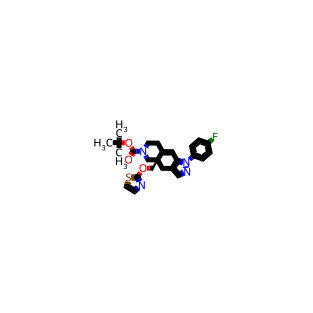 CC(C)(C)OC(=O)N1CCC2=Cc3c(cnn3-c3ccc(F)cc3)C[C@]2(COc2nccs2)C1